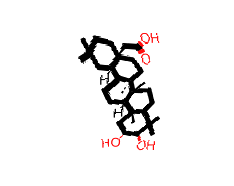 CC1(C)CC[C@]2(CC(=O)O)CC[C@]3(C)C(=CC[C@@H]4[C@@]5(C)C[C@@H](O)[C@H](O)C(C)(C)C5CC[C@]43C)[C@H]2C1